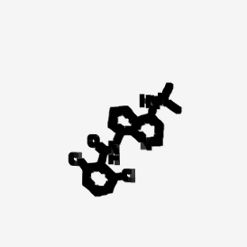 CN(C)Nc1ccnc2c(NC(=O)c3c(Cl)cccc3Cl)cccc12